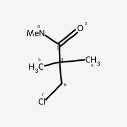 CNC(=O)C(C)(C)CCl